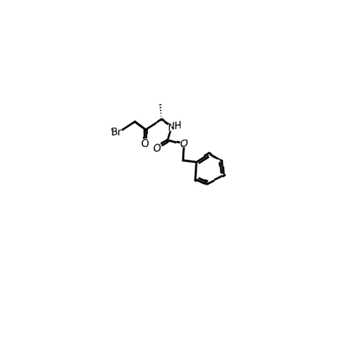 C[C@H](NC(=O)OCc1ccccc1)C(=O)CBr